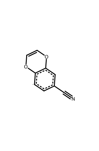 N#Cc1c[c]c2c(c1)OC=CO2